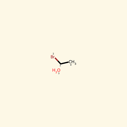 CCBr.O